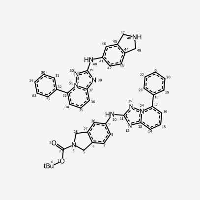 CC(C)(C)OC(=O)N1Cc2ccc(Nc3nc4cccc(-c5ccccc5)n4n3)cc2C1.c1ccc(-c2cccc3nc(Nc4ccc5c(c4)CNC5)nn23)cc1